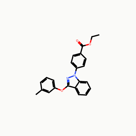 CCOC(=O)c1ccc(-n2nc(Oc3cccc(C)c3)c3ccccc32)cc1